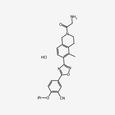 Cc1c(-c2noc(-c3ccc(OC(C)C)c(C#N)c3)n2)ccc2c1CCN(C(=O)CN)C2.Cl